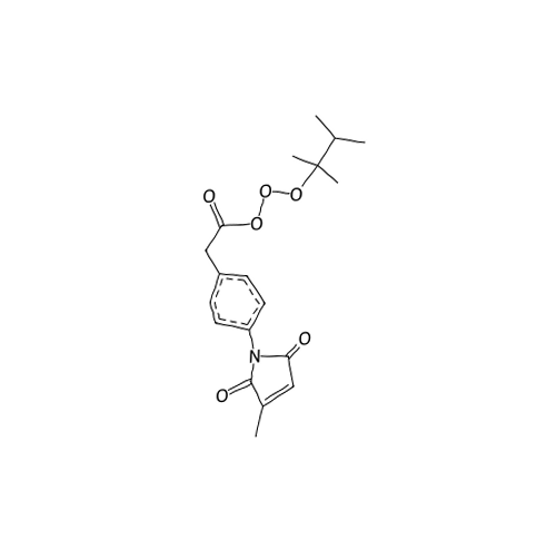 CC1=CC(=O)N(c2ccc(CC(=O)OOOC(C)(C)C(C)C)cc2)C1=O